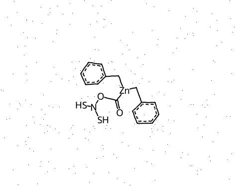 O=[C](ON(S)S)[Zn]([CH2]c1ccccc1)[CH2]c1ccccc1